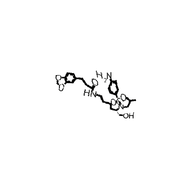 CC(C)CN([C@H](CO)CCCCNC(=O)CCc1ccc2c(c1)OCO2)S(=O)(=O)c1ccc(N)cc1